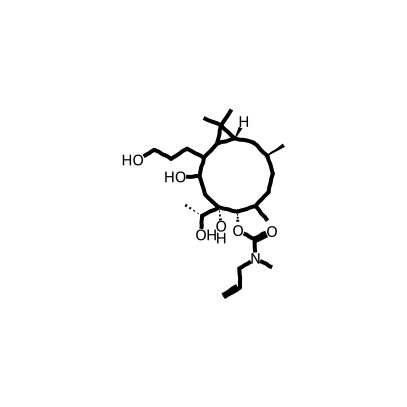 C=CCN(C)C(=O)O[C@H]1C(C)CC[C@H](C)C[C@@H]2C(C(CCCO)C(O)C[C@]1(O)[C@@H](C)O)C2(C)C